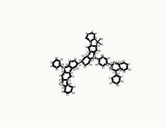 CC1(C)c2ccccc2-c2cc3c4cc(-c5ccc6c(c5)c5cc7c(cc5n6-c5ccccc5)oc5ccccc57)ccc4n(-c4ccc(-c5nc(-c6ccccc6)c6ccccc6n5)cc4)c3cc21